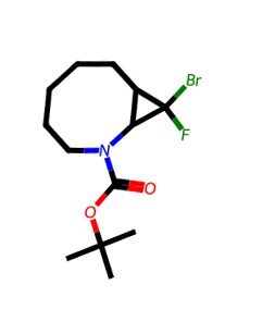 CC(C)(C)OC(=O)N1CCCCCC2C1C2(F)Br